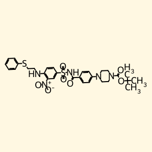 CC(C)(C)OC(=O)N1CCN(c2ccc(C(=O)NS(=O)(=O)c3ccc(NCCSc4ccccc4)c([N+](=O)[O-])c3)cc2)CC1